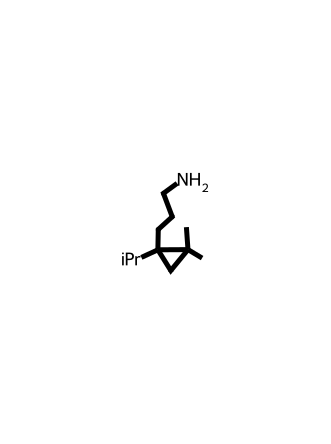 CC(C)C1(CCCN)CC1(C)C